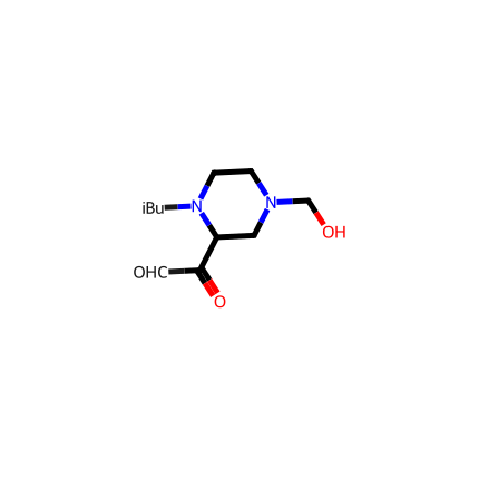 CCC(C)N1CCN(CO)CC1C(=O)C=O